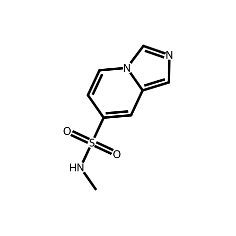 CNS(=O)(=O)c1ccn2cncc2c1